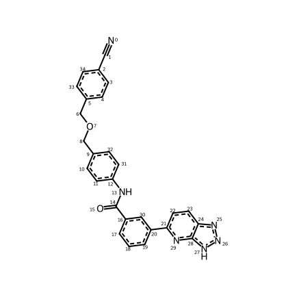 N#Cc1ccc(COCc2ccc(NC(=O)c3cccc(-c4ccc5nn[nH]c5n4)c3)cc2)cc1